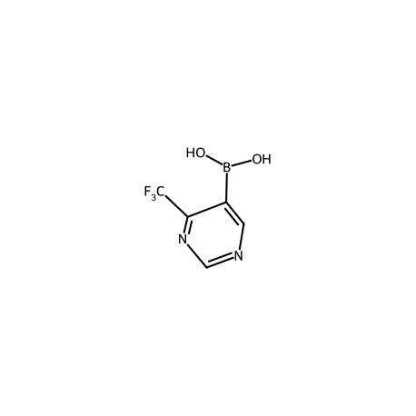 OB(O)c1cncnc1C(F)(F)F